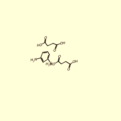 Nc1cccc(N)c1.O=C(O)CCC(=O)O.O=C(O)CCC(=O)O